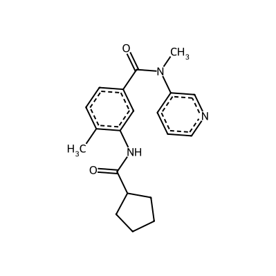 Cc1ccc(C(=O)N(C)c2cccnc2)cc1NC(=O)C1CCCC1